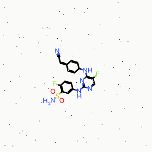 N#CC=C1C=CC(Nc2nc(Nc3ccc(F)c(S(N)(=O)=O)c3)ncc2F)C=C1